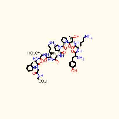 CC[C@H](C)[C@H](NC(=O)[C@@H]1CCCN1C(=O)[C@@H]1CCCN1C(=O)[C@@H](NC(=O)[C@H](CCCCN)NC(=O)[C@@H](N)Cc1ccc(O)cc1)[C@@H](C)O)C(=O)N[C@@H](CCCCN)C(=O)N[C@@H](CC(=O)O)C(=O)N[C@@H](Cc1ccccc1)C(=O)NCC(=O)NCC(=O)O